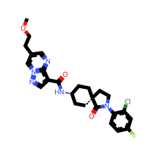 COCCc1cnc2c(C(=O)N[C@H]3CC[C@@]4(CCN(c5ccc(F)cc5Cl)C4=O)CC3)cnn2c1